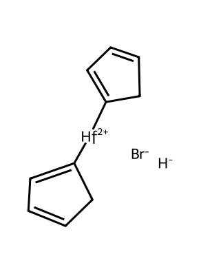 C1=CC[C]([Hf+2][C]2=CC=CC2)=C1.[Br-].[H-]